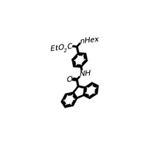 CCCCCCC(C(=O)OCC)c1ccc(NC(=O)C2c3ccccc3-c3ccccc32)cc1